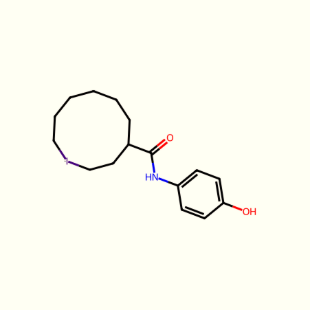 O=C(Nc1ccc(O)cc1)C1CCCCCC[I]CC1